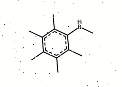 CBc1c(C)c(C)c(C)c(C)c1C